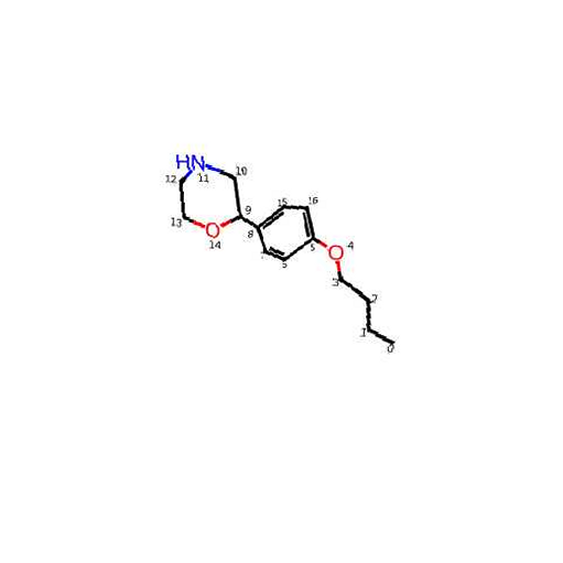 CCCCOc1ccc(C2CNCCO2)cc1